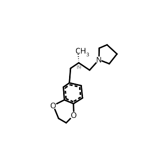 C[C@@H](Cc1ccc2c(c1)OCCO2)CN1CCCC1